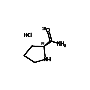 Cl.NC(=[18O])[C@@H]1CCCN1